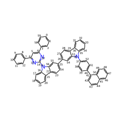 c1ccc(-c2cc(-c3ccccc3)nc(-n3c4ccccc4c4ccc(-c5ccc6c7ccccc7n(-c7ccc(-c8cccc9ccccc89)cc7)c6c5)cc43)n2)cc1